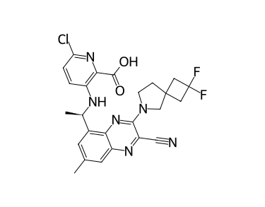 Cc1cc([C@@H](C)Nc2ccc(Cl)nc2C(=O)O)c2nc(N3CCC4(C3)CC(F)(F)C4)c(C#N)nc2c1